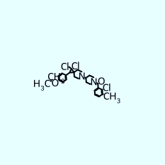 Cc1cccc(C(=O)N2CCC(N3CCC4(CC3)C(c3ccc(OC(C)C)cc3)C4(Cl)Cl)CC2)c1Cl